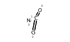 O=C=O.[N]